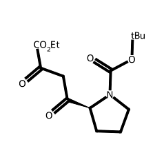 CCOC(=O)C(=O)CC(=O)[C@@H]1CCCN1C(=O)OC(C)(C)C